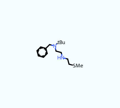 CSCCNCCN(Cc1ccccc1)C(C)(C)C